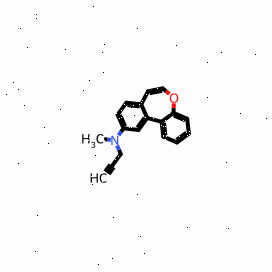 C#CCN(C)c1ccc2c(c1)-c1ccccc1OC=C2